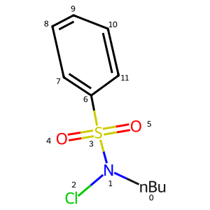 CCCCN(Cl)S(=O)(=O)c1ccccc1